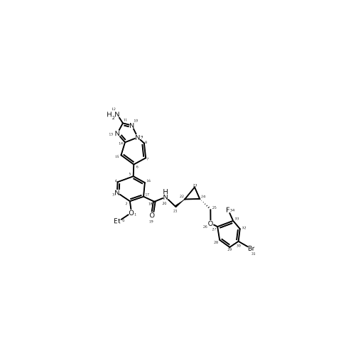 CCOc1ncc(-c2ccn3nc(N)nc3c2)cc1C(=O)NC[C@H]1C[C@@H]1COc1ccc(Br)cc1F